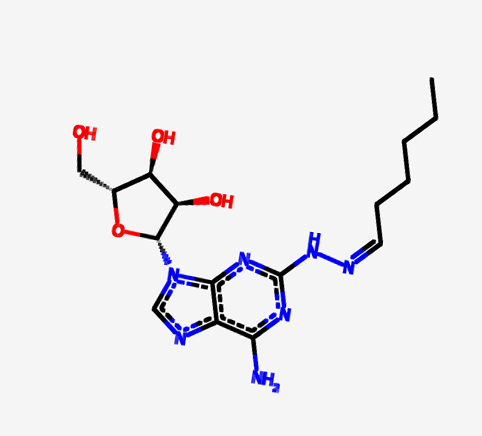 CCCCC/C=N\Nc1nc(N)c2ncn([C@@H]3O[C@H](CO)[C@@H](O)[C@H]3O)c2n1